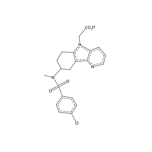 CN(C1CCc2c(c3ncccc3n2CC(=O)O)C1)S(=O)(=O)c1ccc(Cl)cc1